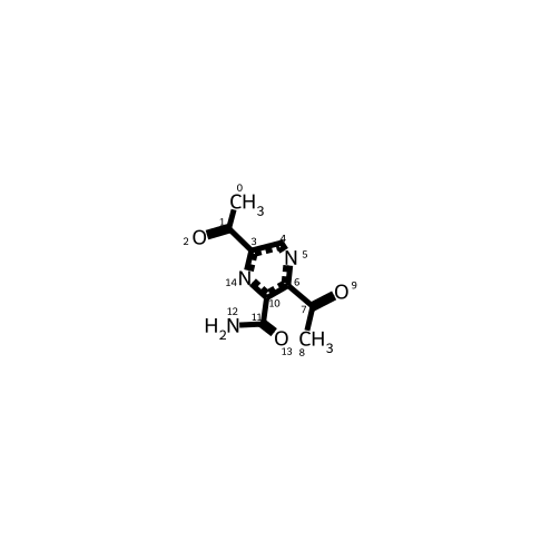 CC(=O)c1cnc(C(C)=O)c(C(N)=O)n1